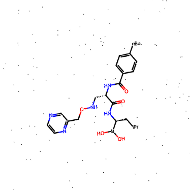 CCCCc1ccc(C(=O)N[C@@H](CNOCc2cnccn2)C(=O)N[C@@H](CC(C)C)B(O)O)cc1